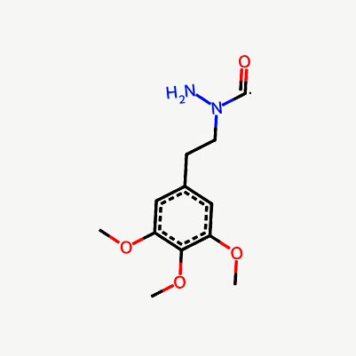 COc1cc(CCN(N)[C]=O)cc(OC)c1OC